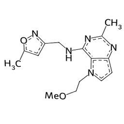 COCCn1ccc2nc(C)nc(NCc3cc(C)on3)c21